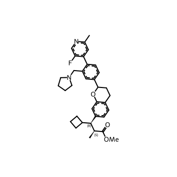 COC(=O)[C@@H](C)[C@H](c1ccc2c(c1)OC(c1ccc(-c3cc(C)ncc3F)c(CN3CCCC3)c1)CC2)C1CCC1